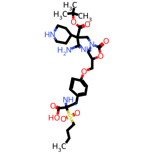 CCCCS(=O)(=O)C(N)(Cc1ccc(OCC2CN(CC(C(=N)N)(C(=O)OC(C)(C)C)C3CCNCC3)C(=O)O2)cc1)C(=O)O